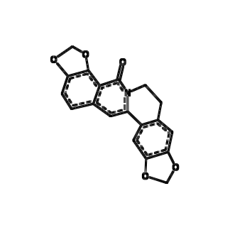 O=c1c2c3c(ccc2cc2n1CCc1cc4c(cc1-2)OCO4)OCO3